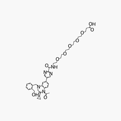 CC(=O)N1c2ccc(-c3cnc(C(=O)NCCOCCOCCOCCOCCOCCC(=O)O)nc3)cc2N(Cc2ccccc2CO)C[C@@H]1C1CC1